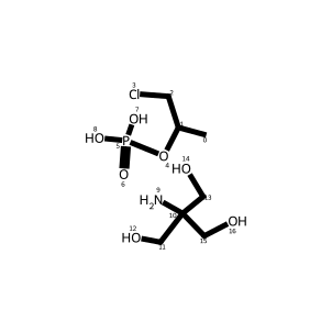 CC(CCl)OP(=O)(O)O.NC(CO)(CO)CO